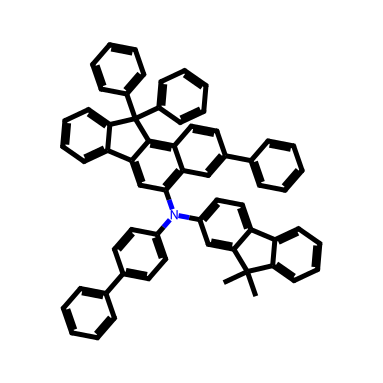 CC1(C)c2ccccc2-c2ccc(N(c3ccc(-c4ccccc4)cc3)c3cc4c(c5ccc(-c6ccccc6)cc35)C(c3ccccc3)(c3ccccc3)c3ccccc3-4)cc21